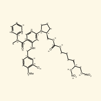 COc1ccc(CNc2nc(N3CCC[C@H]3COC(=O)OCCCC[C@@H](CO[N+](=O)[O-])O[N+](=O)[O-])ncc2C(=O)N(C)c2ncccn2)cc1Cl